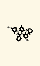 Cc1cc2c3c(c1)N1c4c(cc(C(C)(C)C)cc4C4(C)CCCCC14C)B3c1c(sc3ccccc13)N2c1ccc(C(C)(C)C)cc1C